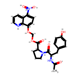 CC(=O)NC(Cc1ccc(O)cc1)C(=O)N1CCCC1C(=O)OCOc1ccc([N+](=O)[O-])c2cccnc12